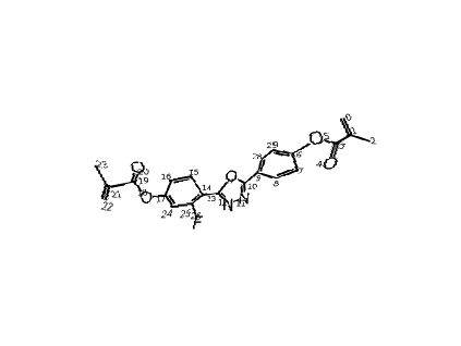 C=C(C)C(=O)Oc1ccc(-c2nnc(-c3ccc(OC(=O)C(=C)C)cc3F)o2)cc1